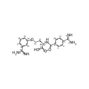 N=C(N)c1ccc(C(=O)N[C@H](CCOc2cccc(C(=N)N)c2)C(=O)O)cc1